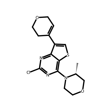 C[C@@H]1COCCN1c1nc(Cl)nc2c(C3=CCOCC3)csc12